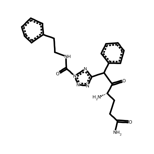 NC(=O)CC[C@H](N)C(=O)[C](c1ccccc1)c1nnn(C(=O)NCCc2ccccc2)n1